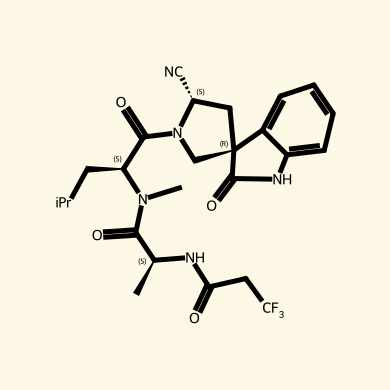 CC(C)C[C@@H](C(=O)N1C[C@]2(C[C@H]1C#N)C(=O)Nc1ccccc12)N(C)C(=O)[C@H](C)NC(=O)CC(F)(F)F